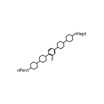 CCCCCCCC1CCC(C2CCC(c3ccc(C4CCC(C5CCC(CCCCC)CC5)CC4)c(F)c3)CC2)CC1